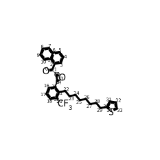 O=C(c1cccc2ccccc12)[C@@H]1O[C@H]1c1cccc(C(F)(F)F)c1CCCCCCCCc1cccs1